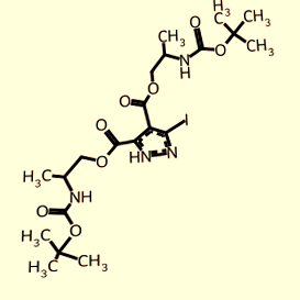 CC(COC(=O)c1[nH]nc(I)c1C(=O)OCC(C)NC(=O)OC(C)(C)C)NC(=O)OC(C)(C)C